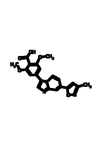 COc1cc(-c2cnc3cc(-c4cc(C)no4)ccn23)cc(OC)c1C(=O)O